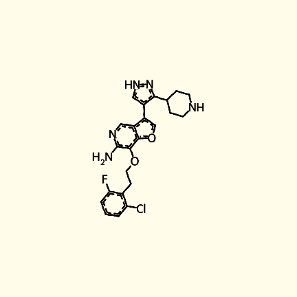 Nc1ncc2c(-c3c[nH]nc3C3CCNCC3)coc2c1OCCc1c(F)cccc1Cl